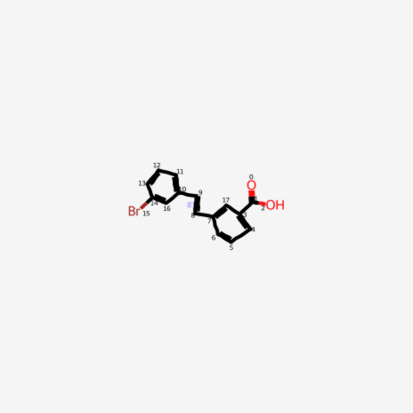 O=C(O)c1cccc(/C=C/c2cccc(Br)c2)c1